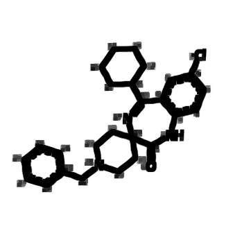 O=C1Nc2ccc(Cl)cc2C(C2CCCCC2)=NC12CCN(Cc1ccccc1)CC2